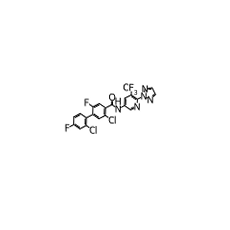 O=C(Nc1cnc(-n2nccn2)c(C(F)(F)F)c1)c1cc(F)c(-c2ccc(F)cc2Cl)cc1Cl